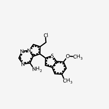 COc1cc(C)cc2cc(-c3c(CCl)cn4ncnc(N)c34)sc12